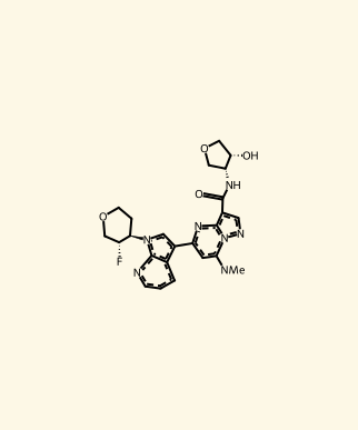 CNc1cc(-c2cn([C@@H]3CCOC[C@H]3F)c3ncccc23)nc2c(C(=O)N[C@@H]3COC[C@@H]3O)cnn12